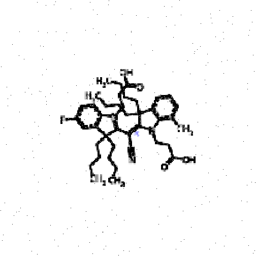 CCCCC1(CCCC)C(/C(C#N)=C2/N(CCC(=O)O)c3c(C)cccc3C2(CCCC)CCCC)=[N+](CCC(=O)O)c2ccc(F)cc21